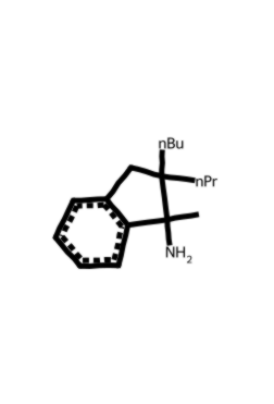 CCCCC1(CCC)Cc2ccccc2C1(C)N